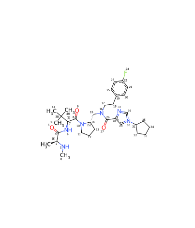 CN[C@@H](C)C(=O)N[C@H](C(=O)N1CCC[C@H]1CN(CCc1ccc(F)cc1)C(=O)c1cn(C2CCCC2)cn1)C(C)(C)C